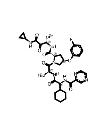 CCC[C@H](NC(=O)[C@@H]1C[C@@H](Oc2cccc(F)c2)CN1C(=O)[C@@H](NC(=O)[C@@H](NC(=O)c1cnccn1)C1CCCCC1)C(C)(C)C)C(=O)C(=O)NC1CC1